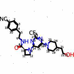 N#Cc1ccc(CCNC(=O)[C@@H]2CCN2c2cc(N3CCC(CCO)CC3)nc(C(F)(F)F)n2)cc1